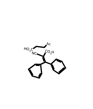 CC(=O)CCC(=O)O.N#CC(C(=O)O)=C(c1ccccc1)c1ccccc1